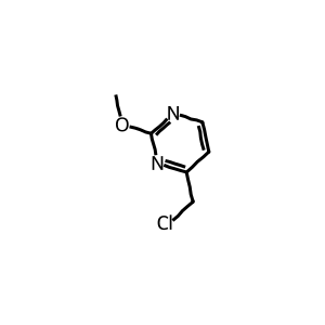 COc1nccc(CCl)n1